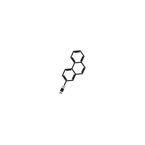 N#[N+]c1ccc2c(ccc3ccccc32)c1